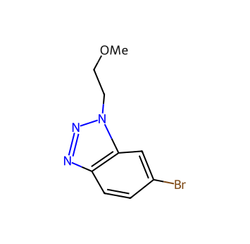 COCCn1nnc2ccc(Br)cc21